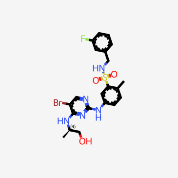 Cc1ccc(Nc2ncc(Br)c(N[C@H](C)CO)n2)cc1S(=O)(=O)NCc1cccc(F)c1